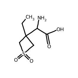 CCC1(C(N)C(=O)O)CS(=O)(=O)C1